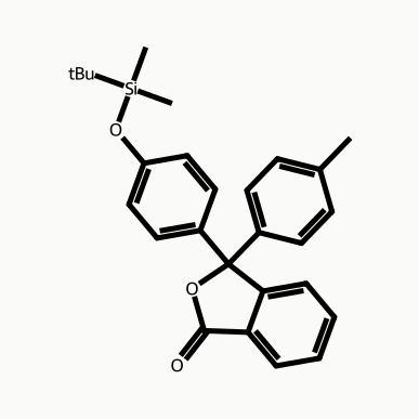 Cc1ccc(C2(c3ccc(O[Si](C)(C)C(C)(C)C)cc3)OC(=O)c3ccccc32)cc1